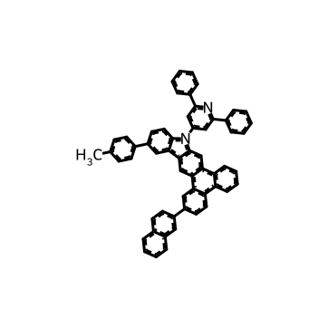 Cc1ccc(-c2ccc3c(c2)c2cc4c5cc(-c6ccc7ccccc7c6)ccc5c5ccccc5c4cc2n3-c2cc(-c3ccccc3)nc(-c3ccccc3)c2)cc1